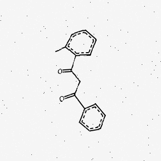 Cc1ccccc1C(=O)CC(=O)c1ccccc1